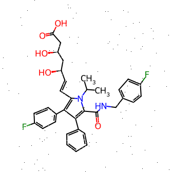 CC(C)n1c(C=C[C@@H](O)C[C@@H](O)CC(=O)O)c(-c2ccc(F)cc2)c(-c2ccccc2)c1C(=O)NCc1ccc(F)cc1